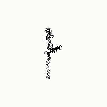 CCCCCCCCCCCCCCCCCC(=O)OC[C@H](COP(=O)([O-])OCC[N+](C)(C)C)OC(=O)CCCCNC(=O)OCc1ccccc1